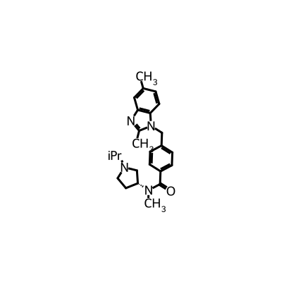 Cc1ccc2c(c1)nc(C)n2Cc1ccc(C(=O)N(C)[C@@H]2CCN(C(C)C)C2)cc1